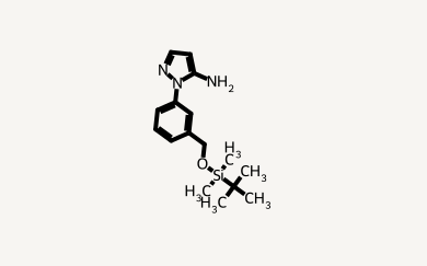 CC(C)(C)[Si](C)(C)OCc1cccc(-n2nccc2N)c1